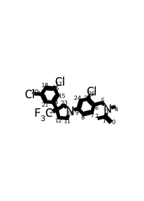 C=C(C)N(C)Cc1ccc(N2CCC(c3cc(Cl)cc(Cl)c3)(C(F)(F)F)C2)cc1Cl